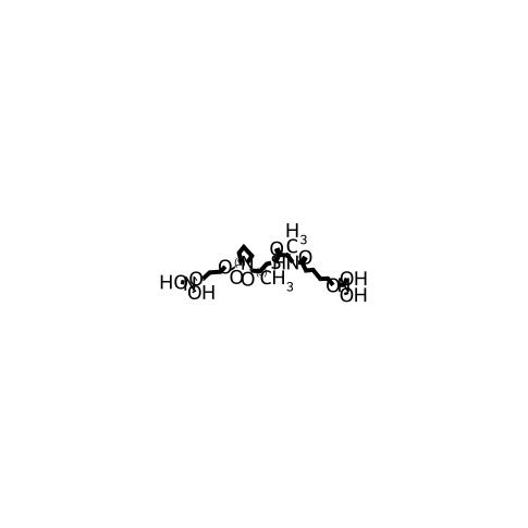 CC(NC(=O)CCCCON(O)O)C(=O)SC[C@@H](C)C(=O)N1CCC[C@H]1C(=O)OCCCON(O)O